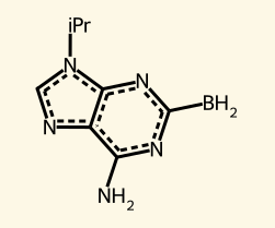 Bc1nc(N)c2ncn(C(C)C)c2n1